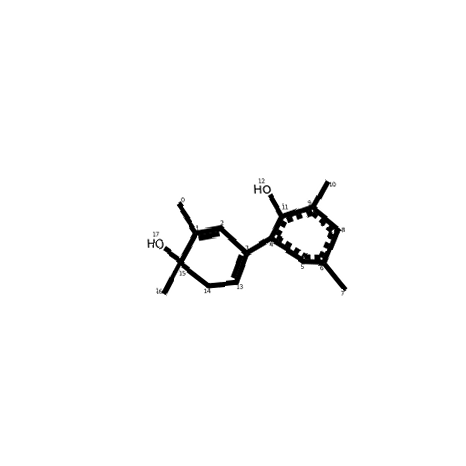 CC1=CC(c2cc(C)cc(C)c2O)=CCC1(C)O